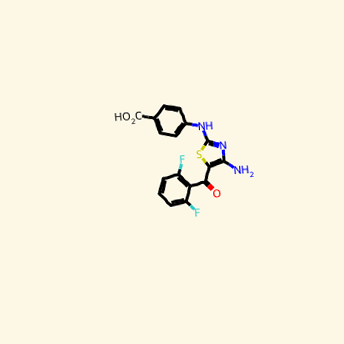 Nc1nc(Nc2ccc(C(=O)O)cc2)sc1C(=O)c1c(F)cccc1F